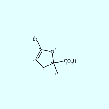 CCC1=CCC(C)(C(=O)O)O1